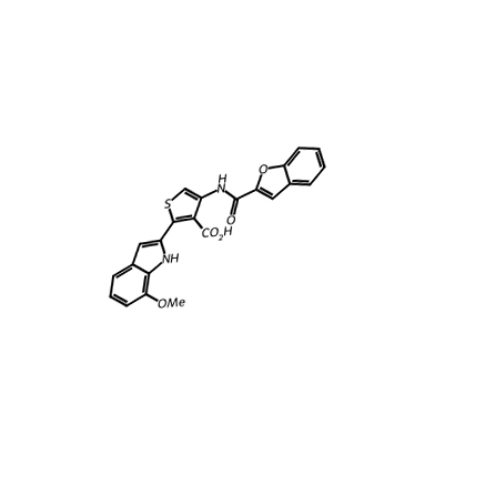 COc1cccc2cc(-c3scc(NC(=O)c4cc5ccccc5o4)c3C(=O)O)[nH]c12